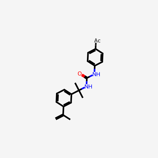 C=C(C)c1cccc(C(C)(C)NC(=O)Nc2ccc(C(C)=O)cc2)c1